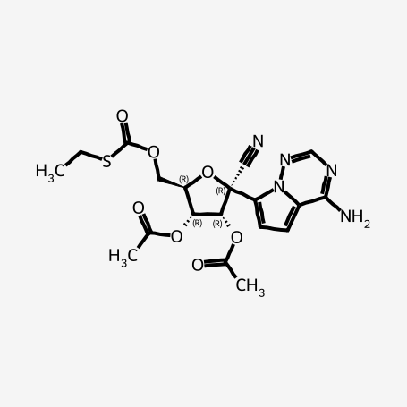 CCSC(=O)OC[C@H]1O[C@@](C#N)(c2ccc3c(N)ncnn23)[C@H](OC(C)=O)[C@@H]1OC(C)=O